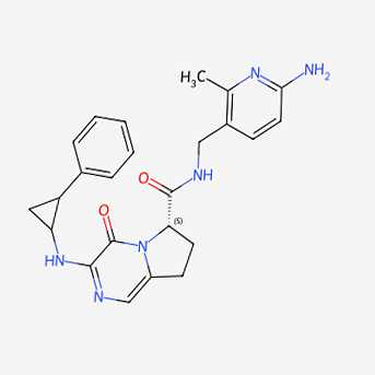 Cc1nc(N)ccc1CNC(=O)[C@@H]1CCc2cnc(NC3CC3c3ccccc3)c(=O)n21